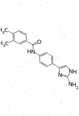 Cc1ccc(C(=O)Nc2ccc(-c3c[nH]c(N)n3)cc2)cc1C